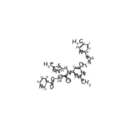 Cc1ccc([C@H]2C[C@@H]2COc2cc(N(Cc3nnc(C)s3)C(=O)OCOC(=O)c3cccnc3)nc(C)n2)nc1